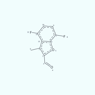 Cc1c(C=O)oc2c(F)ccc(F)c12